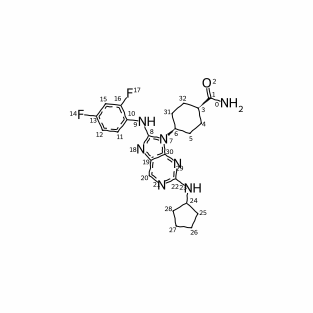 NC(=O)[C@H]1CC[C@@H](n2c(Nc3ccc(F)cc3F)nc3cnc(NC4CCCC4)nc32)CC1